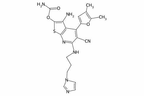 Cc1cc(-c2c(C#N)c(NCCCn3ccnc3)nc3sc(OC(N)=O)c(N)c23)oc1C